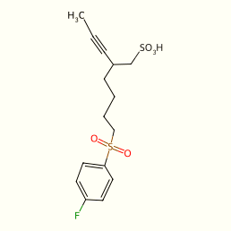 CC#CC(CCCCS(=O)(=O)c1ccc(F)cc1)CS(=O)(=O)O